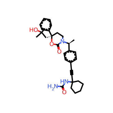 C[C@@H](c1ccc(C#CC2(NC(N)=O)CCCCC2)cc1)N1CC[C@](CC(C)(C)O)(c2ccccc2)OC1=O